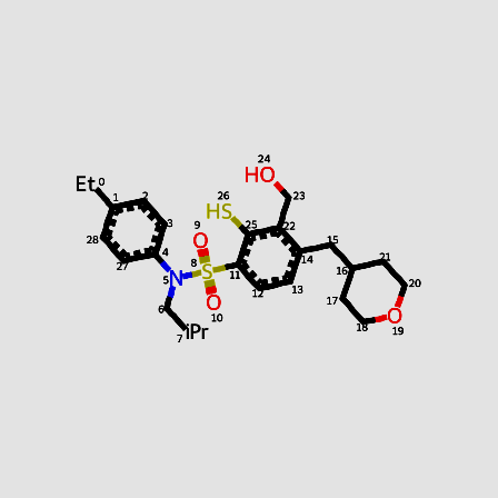 CCc1ccc(N(CC(C)C)S(=O)(=O)c2ccc(CC3CCOCC3)c(CO)c2S)cc1